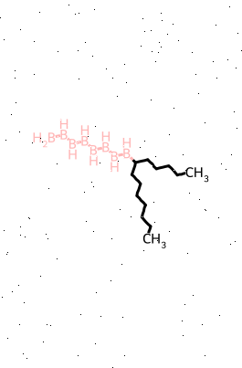 BBBBBBBBC(CCCCC)CCCCCCC